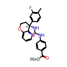 COC(=O)c1ccc(NC(=O)N[C@]2(c3ccc(C)c(F)c3)CCOc3cccnc32)cc1